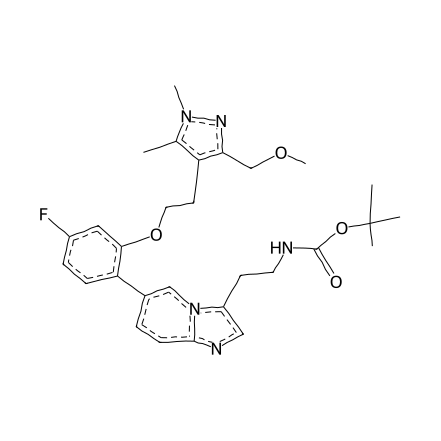 COCc1nn(C)c(C)c1CCOc1cc(F)ccc1-c1ccc2ncc(CCNC(=O)OC(C)(C)C)n2c1